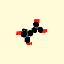 Cc1cc(N(c2ccc(O)cc2)c2ccc(-c3ccc(N(c4ccc(O)cc4)c4ccc(O)cc4)cc3)cc2)ccc1O